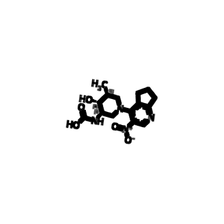 C[C@H]1CN(c2c([N+](=O)[O-])cnc3c2CCC3)C[C@@H](NC(=O)O)[C@@H]1O